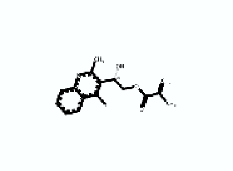 C=C(C)C(=O)OC[C@@H](O)c1c(C)nc2ccccc2c1I